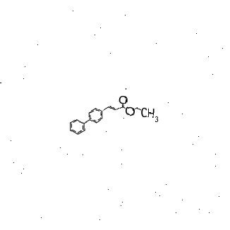 CCOC(=O)/C=C/c1ccc(-c2ccccc2)cc1